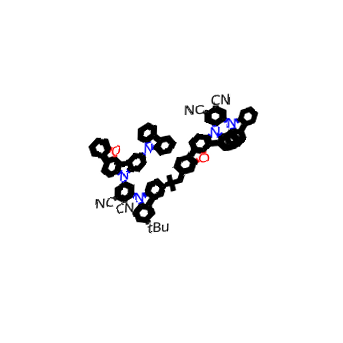 CC(C)(C)c1ccc2c(c1)c1cc(C(C)(C)Cc3ccc4c(c3)oc3c4ccc4c3c3ccccc3n4-c3cc(C#N)c(C#N)cc3-n3c4ccccc4c4ccccc43)ccc1n2-c1cc(-n2c3ccc(-n4c5ccccc5c5ccccc54)cc3c3c4oc5ccccc5c4ccc32)cc(C#N)c1C#N